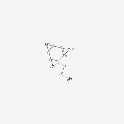 CCCSCC12OC1C1=C(O1)C1=C2O1